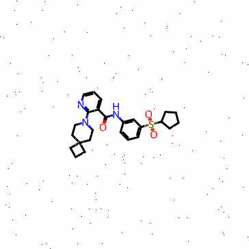 O=C(Nc1cccc(S(=O)(=O)C2CCCC2)c1)c1cccnc1N1CCC2(CCC2)CC1